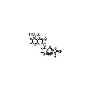 O=C(O)CN(C(=O)COc1cccc2c1CN1CC(=O)NC1=N2)c1ccccc1